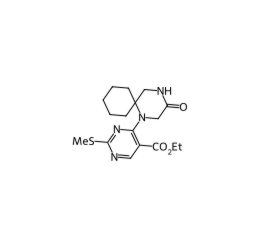 CCOC(=O)c1cnc(SC)nc1N1CC(=O)NCC12CCCCC2